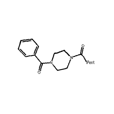 [CH2]C(CCC)C(=O)N1CCN(C(=O)c2ccccc2)CC1